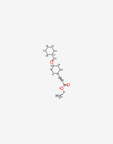 CCOC(=O)C#CC1CCC(OCC2CCCCC2)CC1